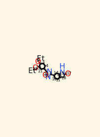 CCOc1ccc(-c2nc(-c3ccc4c(c3)NC(=O)C4)no2)cc1OCC